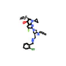 CO/N=C1\CN(c2nc3c(cc2F)c(=O)c(C(=O)O)cn3C2CC2)CC1CN=Cc1ccccc1Cl